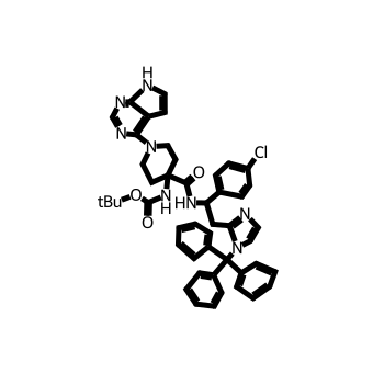 CC(C)(C)OC(=O)NC1(C(=O)NC(Cc2nccn2C(c2ccccc2)(c2ccccc2)c2ccccc2)c2ccc(Cl)cc2)CCN(c2ncnc3[nH]ccc23)CC1